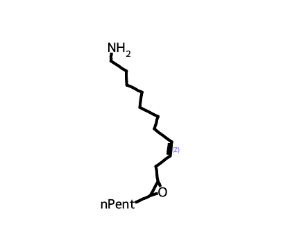 CCCCCC1OC1C/C=C\CCCCCCCN